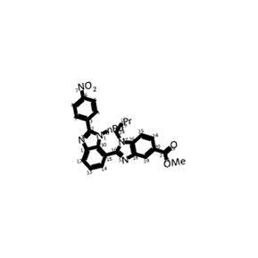 CCCCn1c(-c2ccc([N+](=O)[O-])cc2)nc2cccc(-c3nc4cc(C(=O)OC)ccc4n3CC(C)C)c21